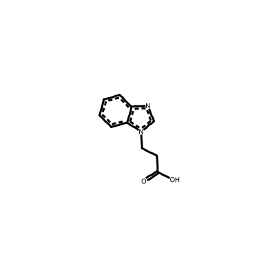 O=C(O)CCn1cnc2ccccc21